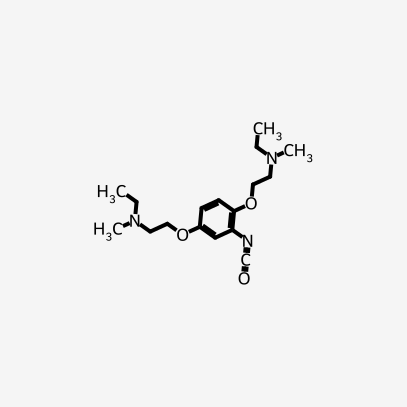 CCN(C)CCOc1ccc(OCCN(C)CC)c(N=C=O)c1